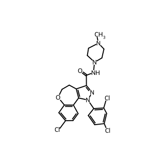 CN1CCN(NC(=O)c2nn(-c3ccc(Cl)cc3Cl)c3c2CCOc2cc(Cl)ccc2-3)CC1